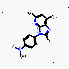 CCc1nc2c(C)cc(C)nc2n1-c1ccc(N(CC)C(=O)O)cc1